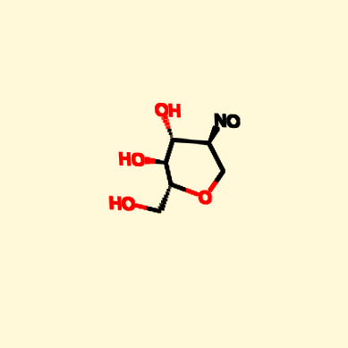 O=N[C@H]1CO[C@H](CO)[C@@H](O)[C@@H]1O